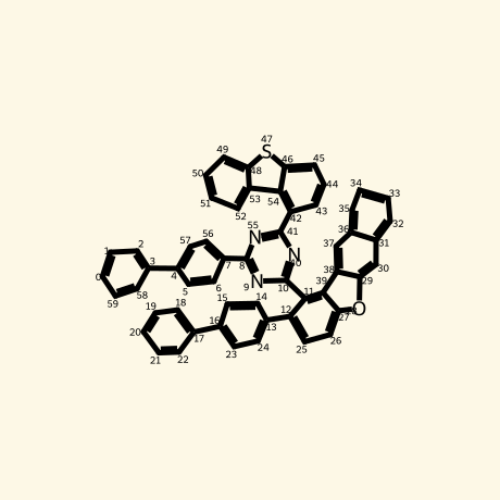 c1ccc(-c2ccc(-c3nc(-c4c(-c5ccc(-c6ccccc6)cc5)ccc5oc6cc7ccccc7cc6c45)nc(-c4cccc5sc6ccccc6c45)n3)cc2)cc1